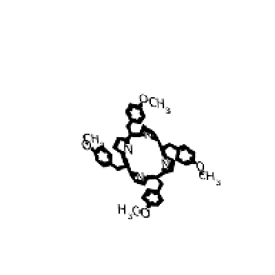 COc1ccc(CC2=C3C=CC(=N3)C(Cc3ccc(OC)cc3)=C3C=CC(=N3)C(Cc3ccc(OC)cc3)=C3C=CC(=N3)C(Cc3ccc(OC)cc3)=C3C=CC2=N3)cc1